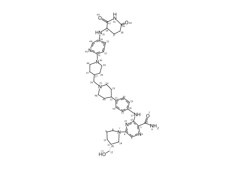 NC(=O)c1ncc(N2CCC[C@@H](CO)C2)nc1Nc1ccc(C2CCN(CC3CCN(c4ccc(NC5CCC(=O)NC5=O)cn4)CC3)CC2)cc1